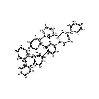 C1=CC(c2ncnc(-c3ccccc3-c3ccccc3-c3ccc4c5ccccc5c5ccccc5c4c3)n2)CC(c2ccccc2)=C1